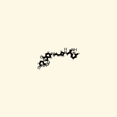 Cc1cccc(/C(C=N)=C/NC2CC(CCCNc3ccc4c(c3)C(=O)N(C3CCC(=O)NC3=O)C4=O)C2)n1